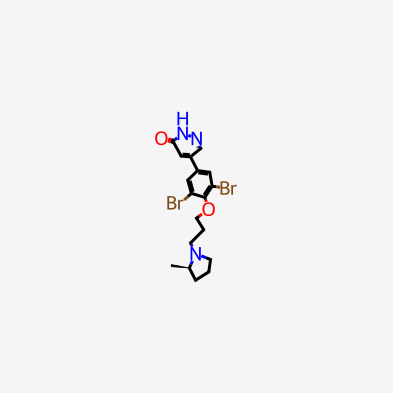 C[C@@H]1CCCN1CCCOc1c(Br)cc(-c2cn[nH]c(=O)c2)cc1Br